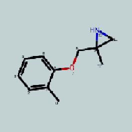 Cc1ccccc1OCC1(C)CN1